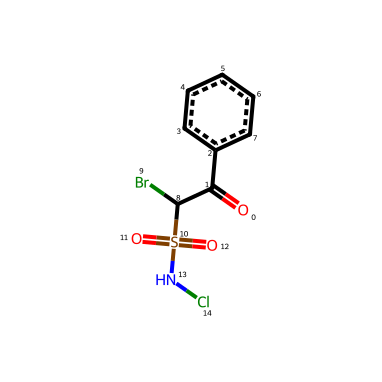 O=C(c1ccccc1)C(Br)S(=O)(=O)NCl